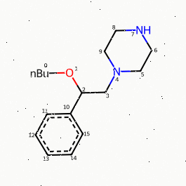 CCCCOC(CN1CCNCC1)c1ccccc1